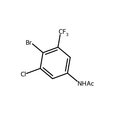 CC(=O)Nc1cc(Cl)c(Br)c(C(F)(F)F)c1